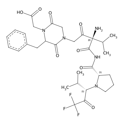 CC(C)[C@@H](C(=O)C(F)(F)F)N1CCC[C@H]1C(=O)NC(=O)[C@](N)(C(=O)CN1CC(=O)N(CC(=O)O)C(Cc2ccccc2)C1=O)C(C)C